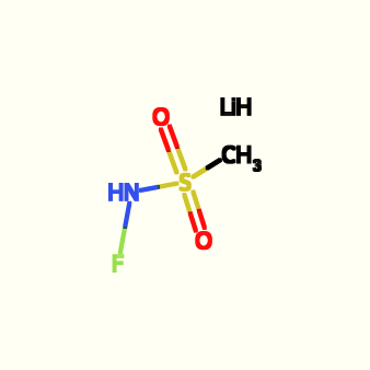 CS(=O)(=O)NF.[LiH]